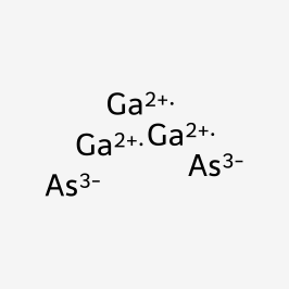 [As-3].[As-3].[Ga+2].[Ga+2].[Ga+2]